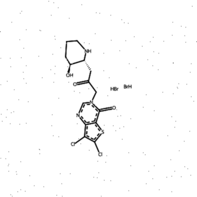 Br.Br.O=C(C[C@H]1NCCC[C@@H]1O)Cn1cnc2c(Cl)c(Cl)sc2c1=O